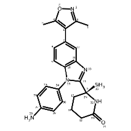 Cc1noc(C)c1-c1ccc2c(c1)nc([C@@]1([SiH3])CCCC(=O)N1)n2-c1ccc(N)cc1